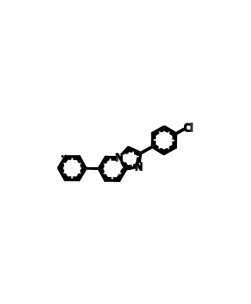 Clc1ccc(-c2cn3cc(-c4c[c]ccc4)ccc3n2)cc1